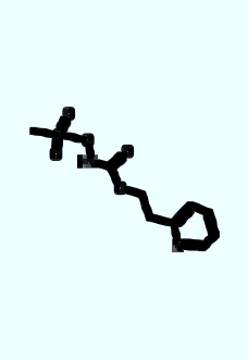 CS(=O)(=O)ONC(=O)OCCc1ccccn1